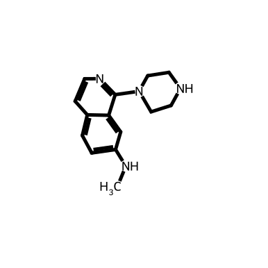 CNc1ccc2ccnc(N3CCNCC3)c2c1